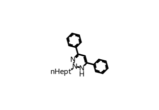 CCCCCCCN1N=C(c2ccccc2)C=C(c2ccccc2)N1